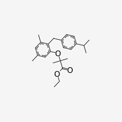 CCOC(=O)C(C)(C)Oc1cc(C)cc(C)c1Cc1ccc(C(C)C)cc1